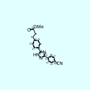 COC(=O)CCc1ccc(-c2nc(-c3ccc(C#N)cc3)n[nH]2)cc1